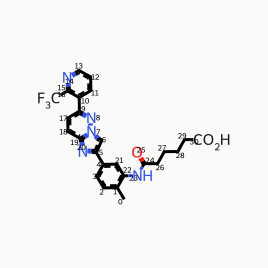 Cc1ccc(-c2cn3nc(-c4cccnc4C(F)(F)F)ccc3n2)cc1NC(=O)CCCCC(=O)O